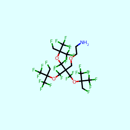 NCCOCC(C(F)(F)OC(CF)(C(F)(F)F)C(F)(F)F)(C(F)(F)OC(CF)(C(F)(F)F)C(F)(F)F)C(F)(F)OC(CF)(C(F)(F)F)C(F)(F)F